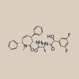 C[C@H](NC(=O)[C@@H](O)c1cc(F)cc(F)c1)C(=O)N[C@@H]1C(=O)N(C)[C@H](c2ccccc2)C=C[C@H]1c1ccccc1